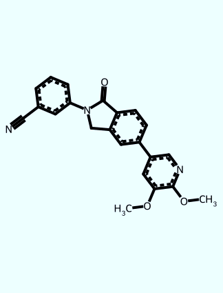 COc1cc(-c2ccc3c(c2)CN(c2cccc(C#N)c2)C3=O)cnc1OC